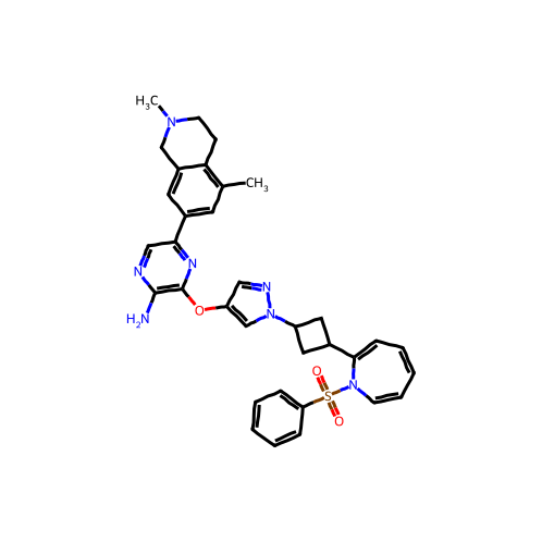 Cc1cc(-c2cnc(N)c(Oc3cnn(C4CC(C5=CC=CC=CN5S(=O)(=O)c5ccccc5)C4)c3)n2)cc2c1CCN(C)C2